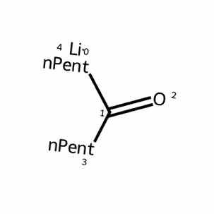 CCCCCC(=O)CCCCC.[Li]